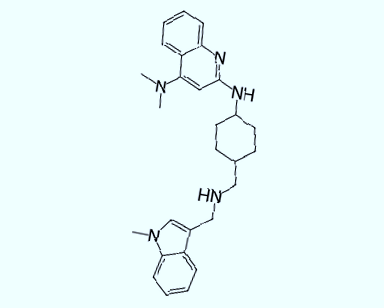 CN(C)c1cc(NC2CCC(CNCc3cn(C)c4ccccc34)CC2)nc2ccccc12